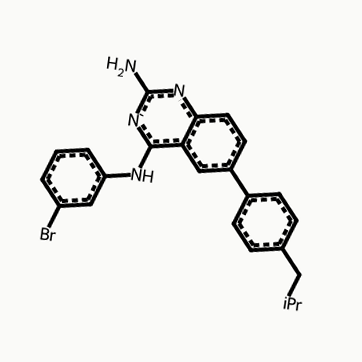 CC(C)Cc1ccc(-c2ccc3nc(N)nc(Nc4cccc(Br)c4)c3c2)cc1